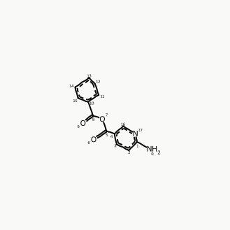 Nc1ccc(C(=O)OC(=O)c2ccccc2)cn1